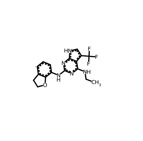 CCNc1nc(Nc2cc[c]c3c2OCC3)nc2[nH]cc(C(F)(F)F)c12